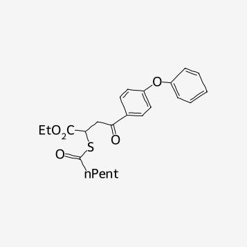 CCCCCC(=O)SC(CC(=O)c1ccc(Oc2ccccc2)cc1)C(=O)OCC